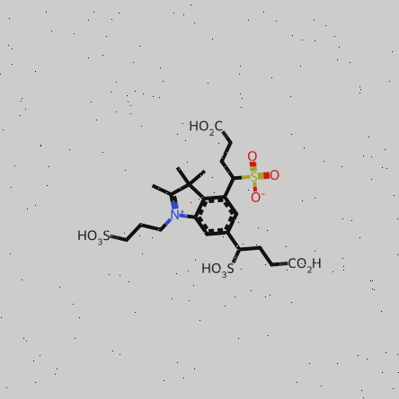 CC1=[N+](CCCS(=O)(=O)O)c2cc(C(CCC(=O)O)S(=O)(=O)O)cc(C(CCC(=O)O)S(=O)(=O)[O-])c2C1(C)C